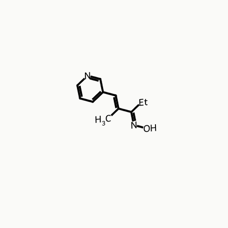 CCC(=N\O)/C(C)=C/c1cccnc1